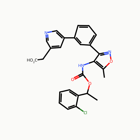 Cc1onc(-c2cccc(-c3cncc(CC(=O)O)c3)c2)c1NC(=O)OC(C)c1ccccc1Cl